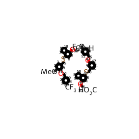 COc1ccc(CSc2ccc(OCC(=O)O)c3c2CCC3)cc1OCc1ccc(C(F)(F)F)cc1.O=C(O)COc1ccc(SCc2cccc(OCc3ccc(C(F)(F)F)cc3)c2)c2c1CCC2